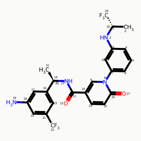 C[C@H](Nc1cccc(-n2cc(C(=O)N[C@H](C)c3cc(N)cc(C(F)(F)F)c3)ccc2=O)c1)C(F)(F)F